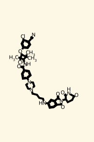 CC1(C)C(NC(=O)c2ccc(N3CCN(CCCCNc4ccc5c(c4)C(=O)N(C4CCC(=O)NC4=O)C5=O)CC3)cc2)C(C)(C)C1Oc1ccc(C#N)c(Cl)c1